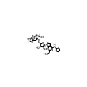 O=P(O)(O)[C@](CO)(Cc1nn[nH]n1)OC[C@H]1O[C@@H](n2ncc3c(NC4CCCC4)nc(CO)nc32)[C@H](O)[C@@H]1O